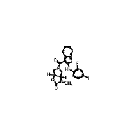 CN1C(=O)O[C@@H]2CN(C(=O)c3c(Nc4ccc(I)cc4F)sc4ncccc34)C[C@@H]21